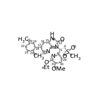 CCOc1nc([C@@H](CS(C)(=O)=O)n2c(=O)[nH]c3cc(-c4cc(C)ccc4C)cnc32)ccc1OC